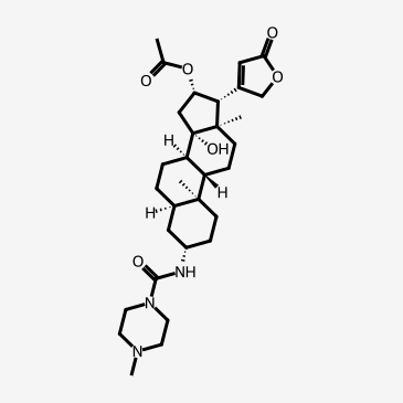 CC(=O)O[C@H]1C[C@]2(O)[C@@H]3CC[C@@H]4C[C@@H](NC(=O)N5CCN(C)CC5)CC[C@]4(C)[C@H]3CC[C@]2(C)[C@H]1C1=CC(=O)OC1